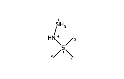 C[Si](C)(C)N[SiH3]